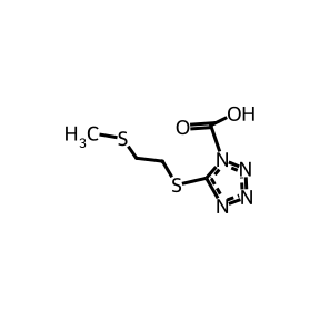 CSCCSc1nnnn1C(=O)O